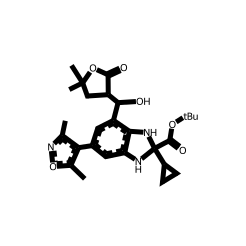 Cc1noc(C)c1-c1cc2c(c(C(O)C3CC(C)(C)OC3=O)c1)NC(C(=O)OC(C)(C)C)(C1CC1)N2